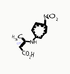 C/C(=C/C(=O)O)Nc1ccc([N+](=O)[O-])cc1